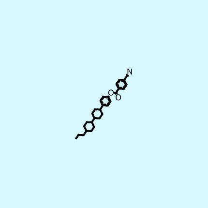 CCCC1CCC(C2CCC(c3ccc(OC(=O)c4ccc(C#N)cc4)cc3)CC2)CC1